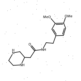 COc1ccc(CCNC(=O)CC2CNCCN2)cc1OC